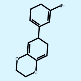 CC(C)C1=CC(C2C=C3OCCOC3=CC2)=CCC1